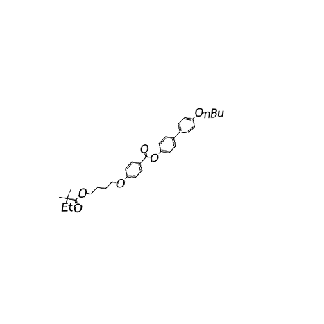 CCCCOc1ccc(-c2ccc(OC(=O)c3ccc(OCCCCOC(=O)C(C)(C)CC)cc3)cc2)cc1